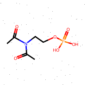 CC(=O)N(CCOP(=O)(O)O)C(C)=O